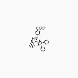 O=C([O-])c1ccc(CNC(c2cccs2)c2nc(-c3ccccc3)c(-c3ccccc3)s2)cc1.[Na+]